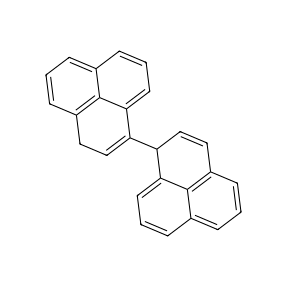 C1=CC(C2=CCc3cccc4cccc2c34)c2cccc3cccc1c23